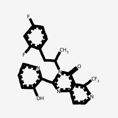 CC(Cc1ccc(F)cc1F)n1c(-c2ncccc2O)nc2ccnc(C(F)(F)F)c2c1=O